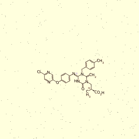 C=C1N(C[C@H](C)C(=O)O)C(=O)N/C(=N\c2ccc(Oc3cnc(Cl)cn3)cc2)N1Cc1ccc(C)cc1